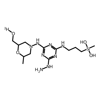 [2H]OCC1CN(Nc2nc(NN)nc(NCCC[Si](C)(O)O)n2)CC(C)O1